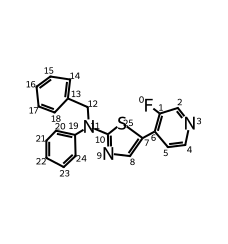 Fc1cnccc1-c1cnc(N(Cc2ccccc2)c2ccccc2)s1